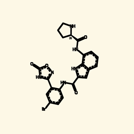 O=C(Nc1ccc(Br)cc1-c1noc(=O)[nH]1)c1cc2cccc(NC(=O)[C@H]3CCCN3)c2[nH]1